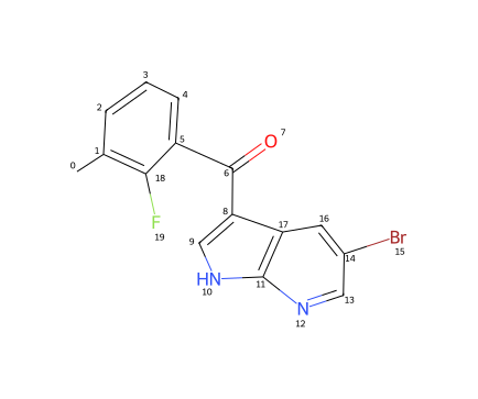 Cc1cccc(C(=O)c2c[nH]c3ncc(Br)cc23)c1F